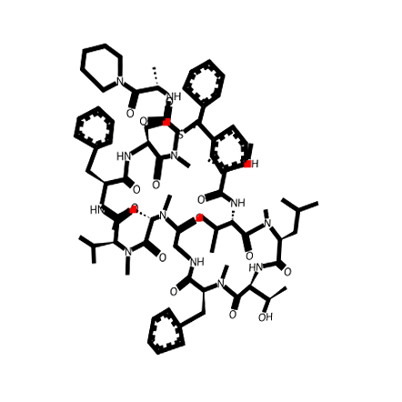 CN[C@@H](C)C(=O)N[C@H](C(=O)N(C)[C@@H](CC(C)C)C(=O)N[C@H](C(=O)N(C)[C@@H](Cc1ccccc1)C(=O)NCC(=O)N(C)[C@@H](CC(C)C)C(=O)N(C)[C@H](C(=O)N[C@@H](Cc1ccccc1)C(=O)N[C@@H](CC(=O)SCc1ccccc1)C(=O)N(C)[C@@H](Cc1ccccc1)C(=O)N[C@@H](C)C(=O)N1CCCCC1)C(C)C)[C@@H](C)O)C(C)C